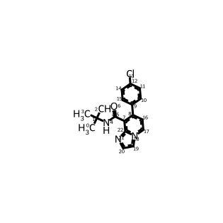 CC(C)(C)NC(=O)c1c(-c2ccc(Cl)cc2)ccn2ccnc12